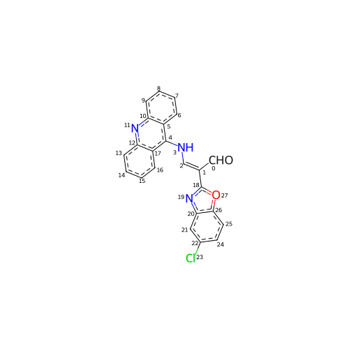 O=C/C(=C\Nc1c2ccccc2nc2ccccc12)c1nc2cc(Cl)ccc2o1